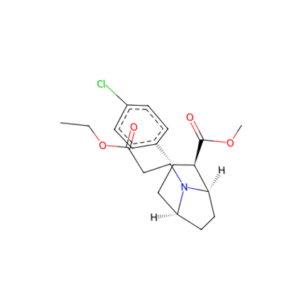 CCOC(=O)CCN1[C@H]2CC[C@@H]1[C@H](C(=O)OC)[C@@H](c1ccc(Cl)cc1)C2